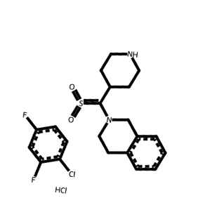 Cl.Fc1ccc(Cl)c(F)c1.O=S(=O)=C(C1CCNCC1)N1CCc2ccccc2C1